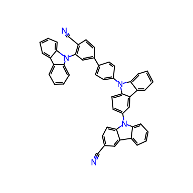 N#Cc1ccc2c(c1)c1ccccc1n2-c1ccc2c(c1)c1ccccc1n2-c1ccc(-c2ccc(C#N)c(-n3c4ccccc4c4ccccc43)c2)cc1